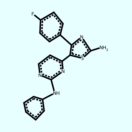 Nc1nc(-c2ccc(F)cc2)c(-c2ccnc(Nc3ccccc3)n2)s1